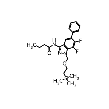 CCCC(=O)Nc1nn(COCC[Si](C)(C)C)c2c(F)c(F)c(-c3ccccc3)cc12